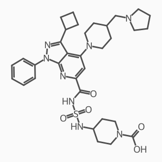 O=C(NS(=O)(=O)NC1CCN(C(=O)O)CC1)c1cc(N2CCC(CN3CCCC3)CC2)c2c(C3CCC3)nn(-c3ccccc3)c2n1